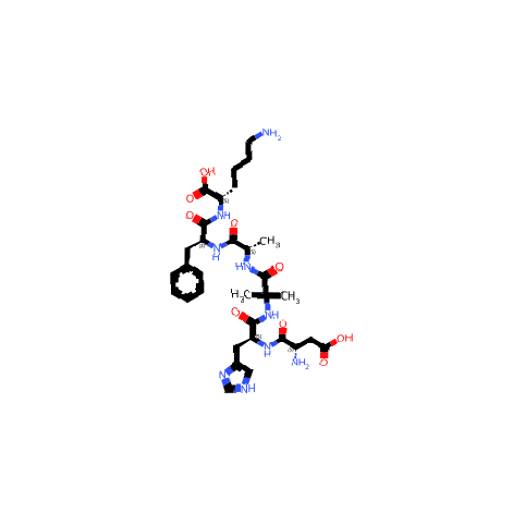 C[C@H](NC(=O)C(C)(C)NC(=O)[C@H](Cc1c[nH]cn1)NC(=O)[C@@H](N)CC(=O)O)C(=O)N[C@@H](Cc1ccccc1)C(=O)N[C@@H](CCCCN)C(=O)O